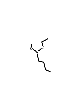 CCCCN(OC)OCC